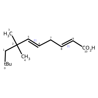 CC(C)(C)CC(C)(C)/C=C/C/C=C/C(=O)O